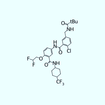 CC(C)(C)C(=O)NCc1ccc(Cl)c(C(=O)Nc2ccc(OCC(F)F)c(C(=O)NC3CCC(C(F)(F)F)CC3)c2)c1